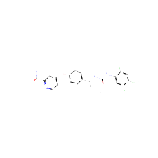 CNC(=O)c1cc(Oc2ccc(C(C)NC(=O)Nc3cc(Cl)c(Cl)cc3Cl)cc2)ccn1